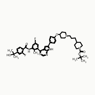 Cc1c(NC(=O)c2ccc(C(C)(C)O)cc2F)cc(F)cc1-c1ncnc2[nH]c(-c3ccc(OC4CCN(CCCC5CCN(C(=O)OC(C)(C)C)CC5)CC4)cc3)cc12